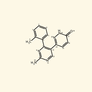 Cc1ccccc1-c1nc(N)ncc1-c1ccc(=O)[nH]n1